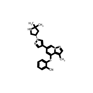 Cc1cnn2cc(-c3cnn([C@@H]4CNC(C)(C)C4)c3)cc(Sc3ccccc3C#N)c12